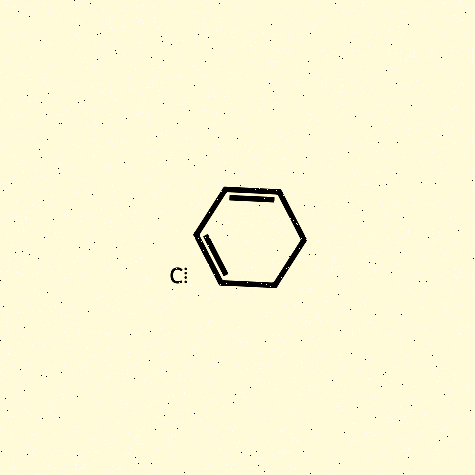 C1=CCCC=C1.[C]